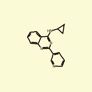 c1cncc(-c2nc(NC3CC3)c3ccccc3n2)c1